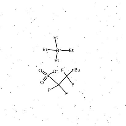 CCCCC(F)(F)C(F)(F)S(=O)(=O)[O-].CC[N+](CC)(CC)CC